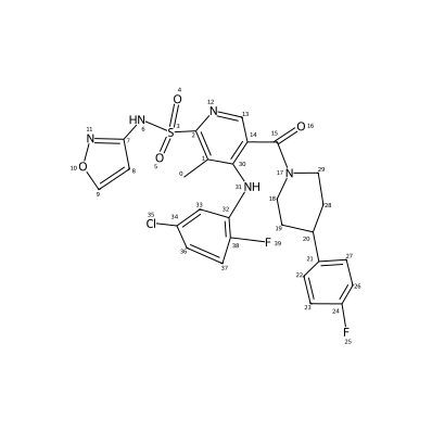 Cc1c(S(=O)(=O)Nc2ccon2)ncc(C(=O)N2CCC(c3ccc(F)cc3)CC2)c1Nc1cc(Cl)ccc1F